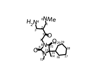 CNCC(CN)C(=O)CN1C(=O)N(C)C(C)(C2CCCCC2)C1=O